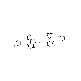 Cc1ccc(CCc2c(Cl)ccc(F)c2-c2c(COC(=O)OCc3c(C)nn(C)c(=O)c3-c3c(F)ccc(Cl)c3CCc3ccc(C)cc3)c(C)nn(C)c2=O)cc1